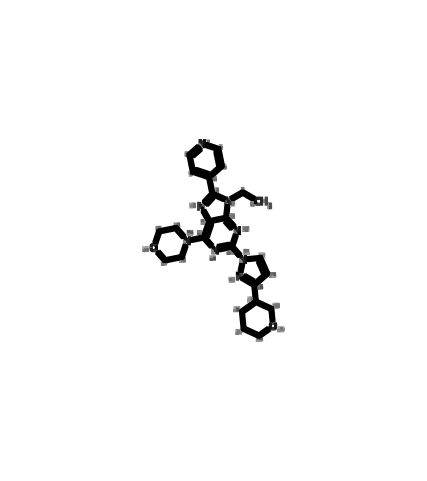 CCn1c(-c2ccncc2)nc2c(N3CCOCC3)nc(-n3ccc(C4CCCOC4)n3)nc21